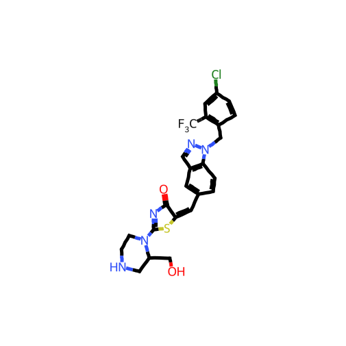 O=C1N=C(N2CCNCC2CO)SC1=Cc1ccc2c(cnn2Cc2ccc(Cl)cc2C(F)(F)F)c1